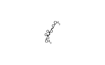 CCOCCOC(=O)CC(=O)OCC